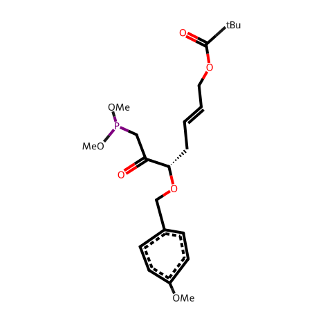 COc1ccc(CO[C@@H](C/C=C/COC(=O)C(C)(C)C)C(=O)CP(OC)OC)cc1